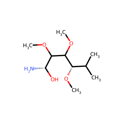 COC(C(OC)[C@@H](N)O)[C@@H](OC)C(C)C